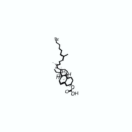 CC(CCCCCBr)CCC[C@@H](C)[C@H]1CC[C@H]2[C@@H]3CC=C4C[C@@H](OC(=O)O)CC[C@]4(C)[C@H]3CC[C@]12C